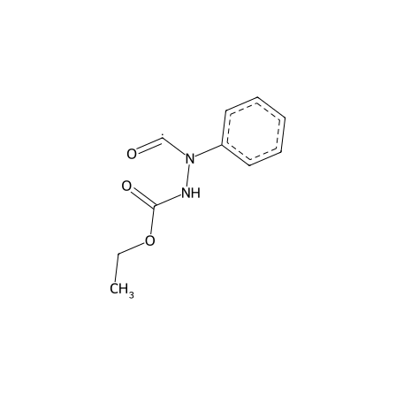 CCOC(=O)NN([C]=O)c1ccccc1